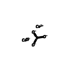 [Ca+2].[Ca+2].[Cl-].[O-]B([O-])[O-]